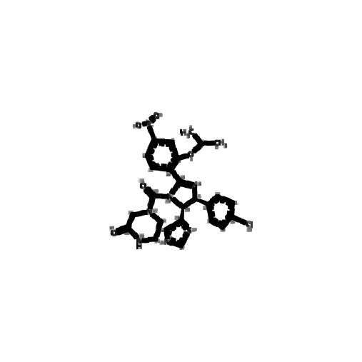 CC(C)Oc1cc([N+](=O)[O-])ccc1C1=N[C@@H](c2ccc(Cl)cc2)[C@@H](c2cncs2)N1C(=O)N1CCNC(=O)C1